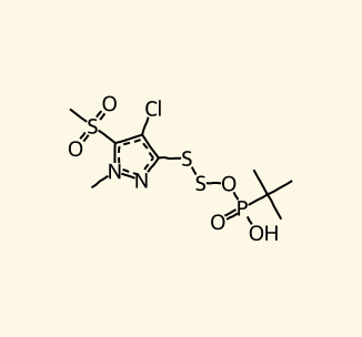 Cn1nc(SSOP(=O)(O)C(C)(C)C)c(Cl)c1S(C)(=O)=O